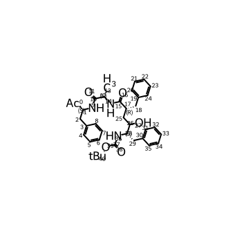 CC(=O)[C@H](Cc1ccccc1)NC(=O)[C@H](C)NC(=O)[C@H](Cc1ccccc1)CC(O)[C@H](Cc1ccccc1)NC(=O)OC(C)(C)C